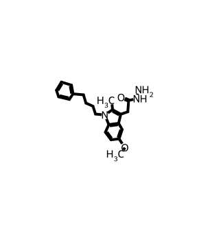 COc1ccc2c(c1)c(CC(=O)NN)c(C)n2CCCCc1ccccc1